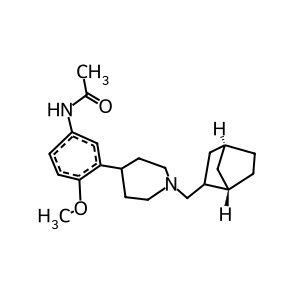 COc1ccc(NC(C)=O)cc1C1CCN(CC2C[C@H]3CC[C@H]2C3)CC1